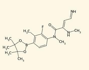 CN/C(=C\C=N)C(=O)N(C)c1ccc(B2OC(C)(C)C(C)(C)O2)c(C)c1F